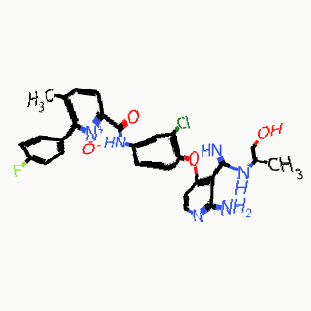 Cc1ccc(C(=O)Nc2ccc(Oc3ccnc(N)c3C(=N)N[C@H](C)CO)c(Cl)c2)[n+]([O-])c1-c1ccc(F)cc1